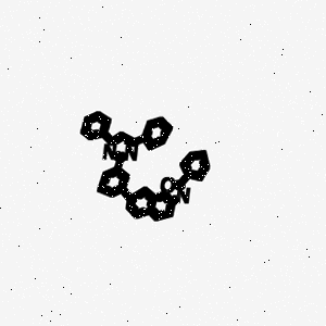 c1ccc(-c2cc(-c3ccccc3)nc(-c3cccc(-c4ccc5ccc6nc(-c7ccccc7)oc6c5c4)c3)n2)cc1